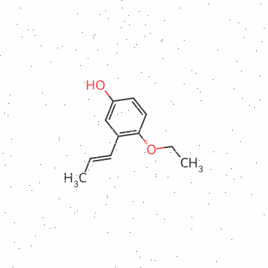 CC=Cc1cc(O)ccc1OCC